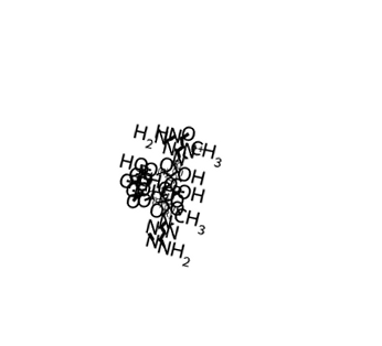 CO[C@@H]1[C@H](OP(C)(=O)O)[C@@H](COP(=O)(O)OP(=O)([O-])OP(=O)(O)OC[C@H]2O[C@@H](n3c[n+](C)c4c(=O)[nH]c(N)nc43)[C@H](O)[C@@H]2OC)O[C@H]1n1cnc2c(N)ncnc21